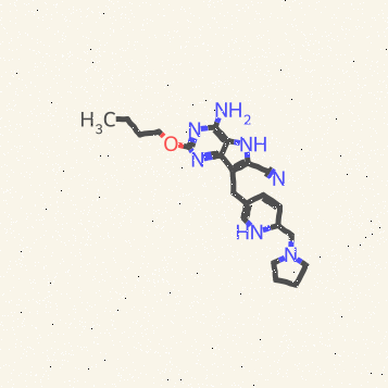 CCCCOc1nc(N)c2[nH]c(C#N)c(CC3=CNC(CN4CCCC4)C=C3)c2n1